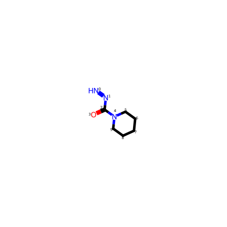 N=NC(=O)N1CCCCC1